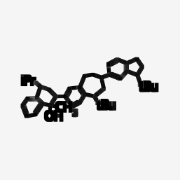 CC(C)C1CC(c2ccc3c(c2)CCC(c2ccc4c(c2)C(C(C)(C)C)CC4)CC3C(C)(C)C)C(C)(O)c2ccccc21